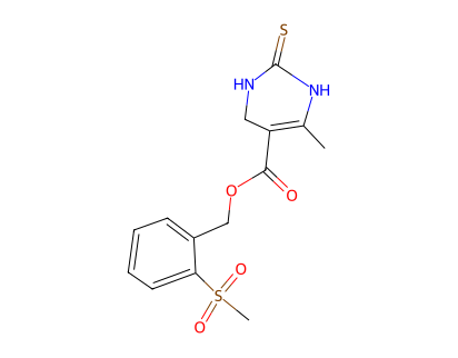 CC1=C(C(=O)OCc2ccccc2S(C)(=O)=O)CNC(=S)N1